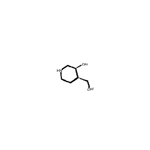 OC[C@H]1CCNC[C@H]1O